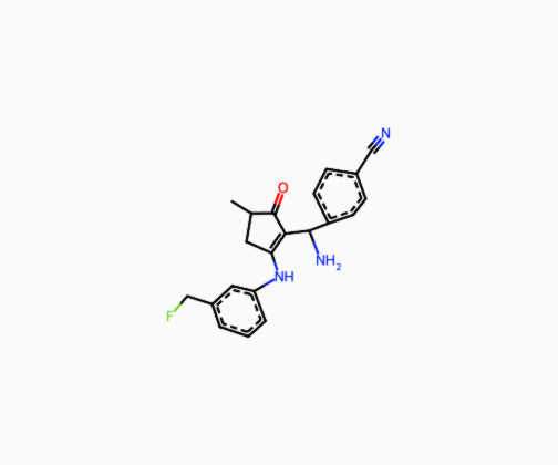 CC1CC(Nc2cccc(CF)c2)=C(C(N)c2ccc(C#N)cc2)C1=O